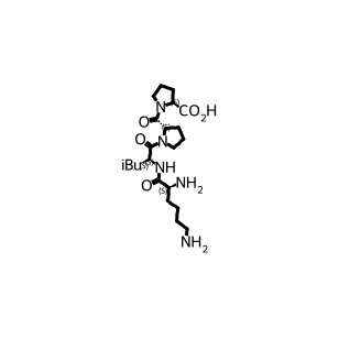 CC[C@H](C)[C@H](NC(=O)[C@@H](N)CCCCN)C(=O)N1CCC[C@H]1C(=O)N1CCC[C@H]1C(=O)O